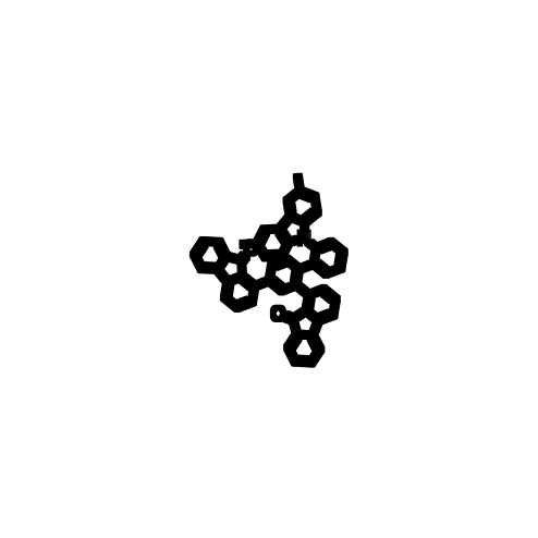 Cc1ccc2c(c1)c1cc(C)ccc1n2-c1ccccc1-c1ccc(-c2cccc3c2C(=O)c2ccccc2-3)cc1-c1cccc2c1C(=O)c1ccccc1-2